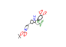 COc1ccc(-c2[nH]c3ccc(C4=CCN(C(=O)OC(C)(C)C)CC4)cc3c2CC(F)(F)F)cc1OC